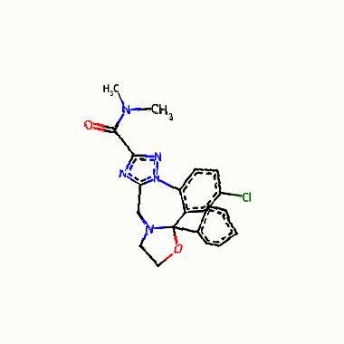 CN(C)C(=O)c1nc2n(n1)-c1ccc(Cl)cc1C1(c3ccccc3)OCCN1C2